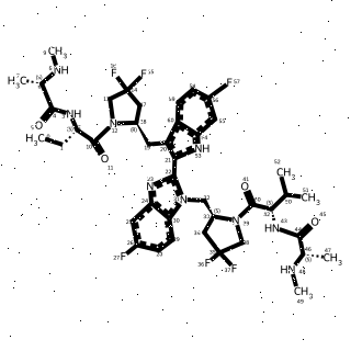 CC[C@H](NC(=O)[C@H](C)NC)C(=O)N1CC(F)(F)C[C@H]1Cc1c(-c2nc3cc(F)ccc3n2C[C@@H]2CC(F)(F)CN2C(=O)[C@@H](NC(=O)[C@H](C)NC)C(C)C)[nH]c2cc(F)ccc12